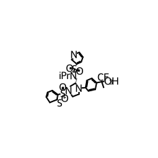 CC(C)N(C[C@H]1CN(S(=O)(=O)C2=CC=CCC2=S)CCN1c1ccc([C@](C)(O)C(F)(F)F)cc1)S(=O)(=O)c1cccnc1